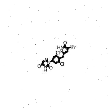 CC(C)c1cc(Cc2c(Cl)cc(-n3ncc(=O)[nH]c3=O)cc2Cl)n[nH]c1=O